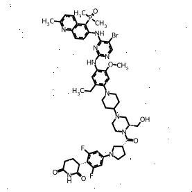 CCc1cc(Nc2ncc(Br)c(Nc3ccc4nc(C)ccc4c3P(C)(C)=O)n2)c(OC)cc1N1CCC(N2CCN(C(=O)[C@@H]3CCN(c4cc(F)c([C@H]5CCC(=O)NC5=O)c(F)c4)C3)[C@H](CO)C2)CC1